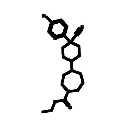 CCOC(=O)N1CCCN(C2CCC(C#N)(c3ccc(Br)cn3)CC2)CC1